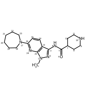 Cn1nc(NC(=O)C2CCNCC2)c2ccc(N3CCCCCC3)nc21